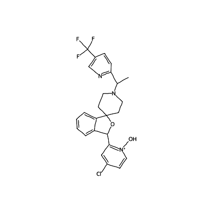 CC(c1ccc(C(F)(F)F)cn1)N1CCC2(CC1)OC(c1cc(Cl)cc[n+]1O)c1ccccc12